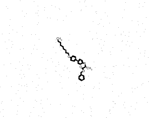 CCCCCCCCCOc1ccc(-c2ccc(S[C@H](C)C(=O)OCc3ccccc3)cc2)cc1